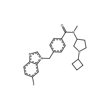 CN(C(=O)c1ccc(Cn2cnc3ccc(F)cc32)cc1)C1CCN(C2CCC2)C1